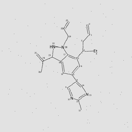 C=CCC(CC)c1cc(-c2cnc(C)nc2)cc2c1N(CC=C)NC2C(=C)C